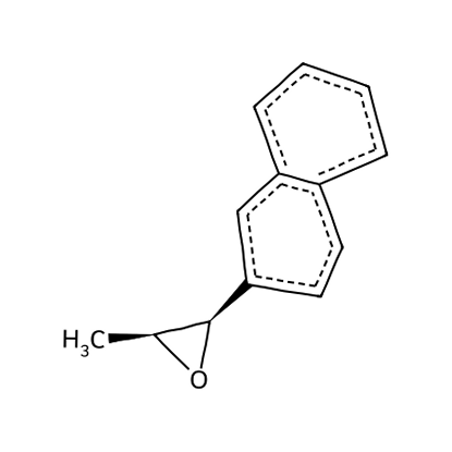 C[C@@H]1O[C@@H]1c1ccc2ccccc2c1